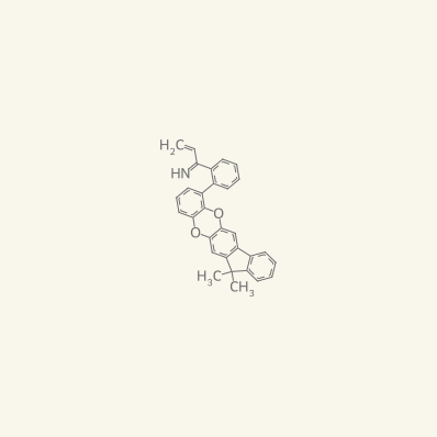 C=CC(=N)c1ccccc1-c1cccc2c1Oc1cc3c(cc1O2)C(C)(C)c1ccccc1-3